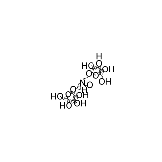 [2H]C(=O)N(CCOC1O[C@H](CO)[C@@H](O)[C@H](O)[C@H]1O)CCO[C@@H]1O[C@H](CO)[C@@H](O)[C@H](O)[C@H]1O